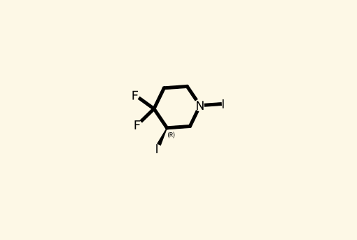 FC1(F)CCN(I)C[C@H]1I